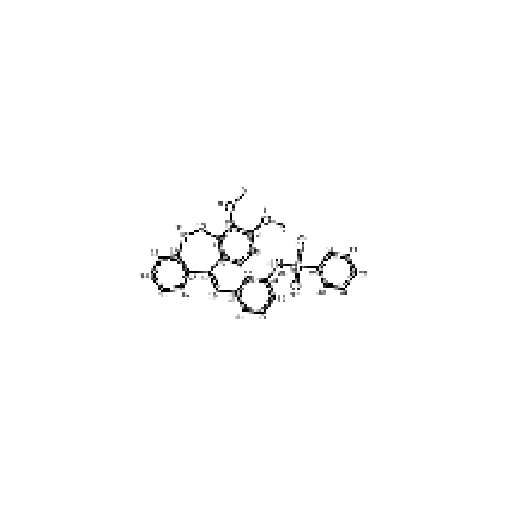 COc1ccc2c(c1OC)CSc1ccccc1/C2=C/c1cccc(NS(=O)(=O)c2ccccc2)c1